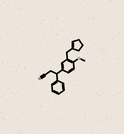 COc1ccc(C(CC#N)c2ccccc2)cc1CC1=CCCC1